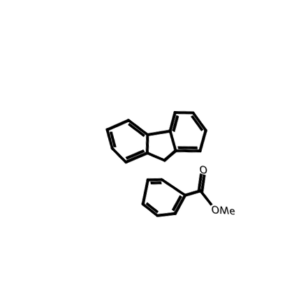 COC(=O)c1ccccc1.c1ccc2c(c1)Cc1ccccc1-2